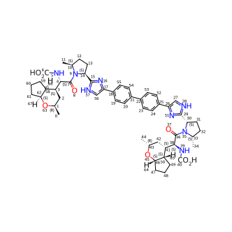 C[C@@H]1C[C@H]([C@H](NC(=O)O)C(=O)N2[C@@H](C)CC[C@H]2c2nc(-c3ccc(-c4ccc(-c5c[nH]c([C@@H]6CC[C@H](C)N6C(=O)[C@@H](NC(=O)O)[C@H]6C[C@@H](C)O[C@H]7CCC[C@@H]67)n5)cc4)cc3)c[nH]2)[C@@H]2CCC[C@@H]2O1